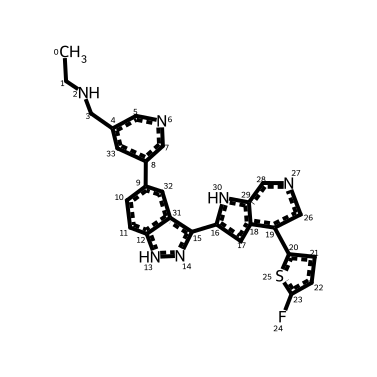 CCNCc1cncc(-c2ccc3[nH]nc(-c4cc5c(-c6ccc(F)s6)cncc5[nH]4)c3c2)c1